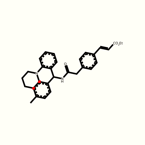 CCOC(=O)C=Cc1ccc(CC(=O)NC(c2ccc(C)cc2)c2ccccc2N2CCCCC2)cc1